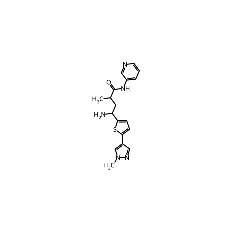 CC(CC(N)c1ccc(-c2cnn(C)c2)s1)C(=O)Nc1cccnc1